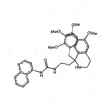 COc1cc2c(cc1OC)C(CCNC(=O)Nc1ccnc3ccccc13)(Cc1ccc(OC)c(OC)c1OC)NCC2